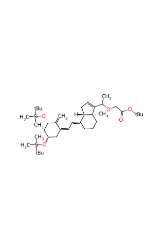 C=C1/C(=C\C=C2/CCC[C@]3(C)C(C(C)OCC(=O)OC(C)(C)C)=CC[C@@H]23)C[C@@H](O[Si](C)(C)C(C)(C)C)C[C@@H]1O[Si](C)(C)C(C)(C)C